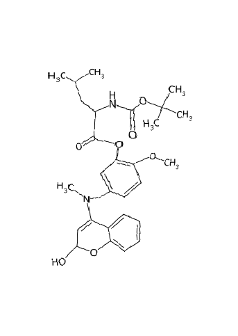 COc1ccc(N(C)C2=CC(O)Oc3ccccc32)cc1OC(=O)C(CC(C)C)NC(=O)OC(C)(C)C